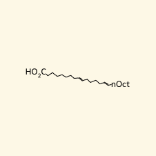 CCCCCCCCC=CCCCCC=CCCCCCCCC(=O)O